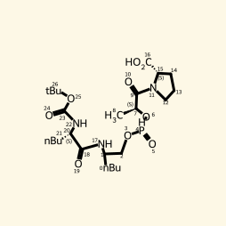 CCCCC(CO[PH](=O)O[C@@H](C)C(=O)N1CCC[C@H]1C(=O)O)NC(=O)[C@H](CCCC)NC(=O)OC(C)(C)C